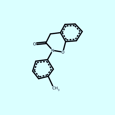 Cc1cccc(N2Oc3ccccc3CC2=O)c1